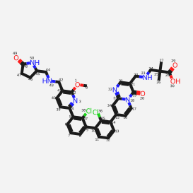 COc1nc(-c2cccc(-c3cccc(-c4ccn5c(=O)c(CNCC(C)(C)C(=O)O)cnc5c4)c3Cl)c2Cl)ccc1CNCC1CCC(=O)N1